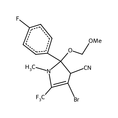 COCOC1(c2ccc(F)cc2)C(C#N)C(Br)=C(C(F)(F)F)N1C